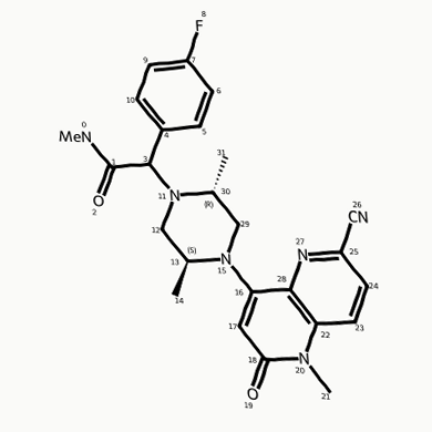 CNC(=O)C(c1ccc(F)cc1)N1C[C@H](C)N(c2cc(=O)n(C)c3ccc(C#N)nc23)C[C@H]1C